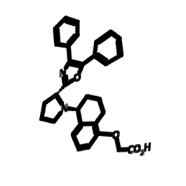 O=C(O)COc1cccc2c1CCC[C@@H]2N1CCC[C@@H]1c1nc(-c2ccccc2)c(-c2ccccc2)o1